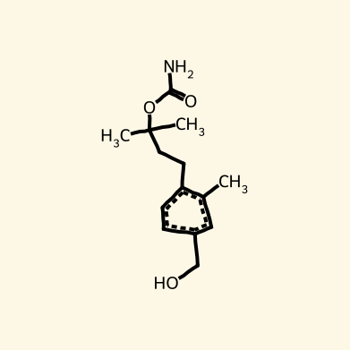 Cc1cc(CO)ccc1CCC(C)(C)OC(N)=O